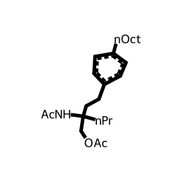 CCCCCCCCc1ccc(CCC(CCC)(COC(C)=O)NC(C)=O)cc1